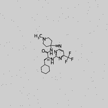 CN1CCC(C#N)(NC(=O)[C@H](CC2CCCCC2)Nc2nccc(C(F)(F)F)n2)CC1